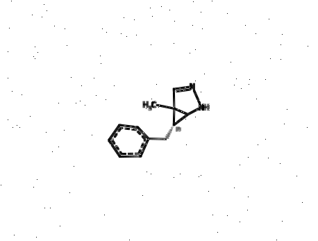 CC12C=NNC1[C@@H]2Cc1ccccc1